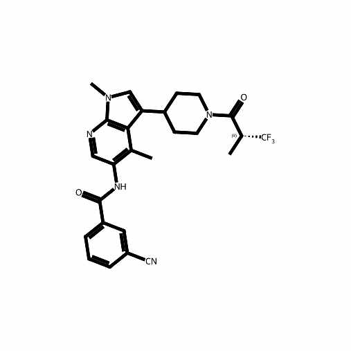 Cc1c(NC(=O)c2cccc(C#N)c2)cnc2c1c(C1CCN(C(=O)[C@@H](C)C(F)(F)F)CC1)cn2C